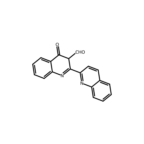 O=CC1C(=O)c2ccccc2N=C1c1ccc2ccccc2n1